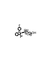 CC(C)c1c(C#CP(=O)(O)C[C@@H](O)CC(=O)O)n(-c2ccc(F)cc2)c2ccccc12